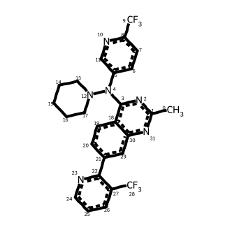 Cc1nc(N(c2ccc(C(F)(F)F)nc2)N2CCCCC2)c2ccc(-c3ncccc3C(F)(F)F)cc2n1